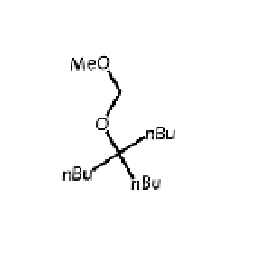 CCCCC(CCCC)(CCCC)OCOC